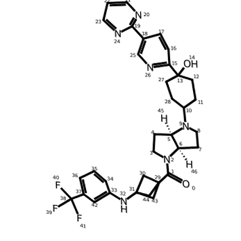 O=C(N1CC[C@@H]2[C@H]1CCN2C1CCC(O)(c2ccc(-c3ncccn3)cn2)CC1)C12CC(Nc3cccc(C(F)(F)F)c3)(C1)C2